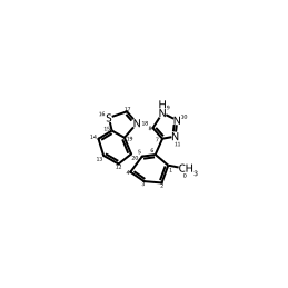 Cc1ccccc1-c1c[nH]nn1.c1ccc2scnc2c1